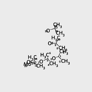 CC(C)[O-].CC(C)[O-].CC(C)[O-].CC(C)[O-].CC(C)[O-].[Mo+5]